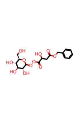 O=C(CC(O)C(=O)OOC1O[C@H](CO)[C@@H](O)[C@H](O)[C@H]1O)OCc1ccccc1